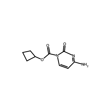 Nc1ccn(C(=O)OC2CCC2)c(=O)n1